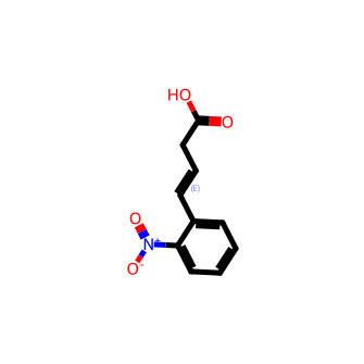 O=C(O)C/C=C/c1ccccc1[N+](=O)[O-]